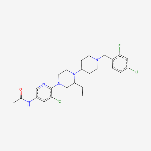 CCC1CN(c2ncc(NC(C)=O)cc2Cl)CCN1C1CCN(Cc2ccc(Cl)cc2F)CC1